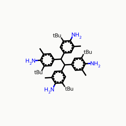 Cc1cc(C(c2cc(C)c(N)c(C(C)(C)C)c2)C(c2cc(C)c(N)c(C(C)(C)C)c2)c2cc(C)c(N)c(C(C)(C)C)c2)cc(C(C)(C)C)c1N